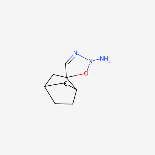 NN1N=CC2(CC3CCC2CC3)O1